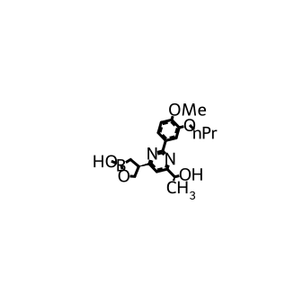 CCCOc1cc(-c2nc([C@H]3COB(O)C3)cc([C@H](C)O)n2)ccc1OC